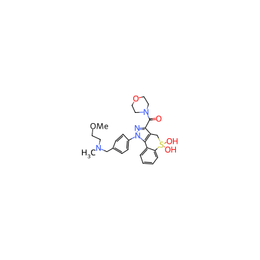 COCCN(C)Cc1ccc(-n2nc(C(=O)N3CCOCC3)c3c2-c2ccccc2S(O)(O)C3)cc1